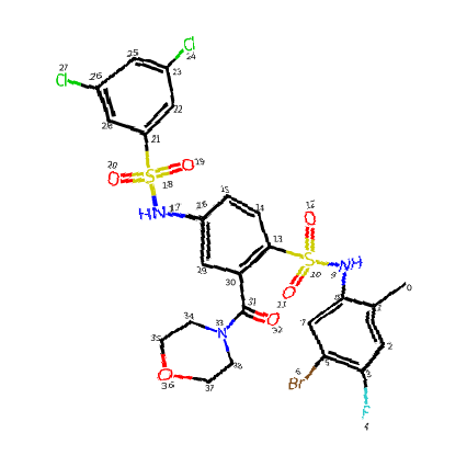 Cc1cc(F)c(Br)cc1NS(=O)(=O)c1ccc(NS(=O)(=O)c2cc(Cl)cc(Cl)c2)cc1C(=O)N1CCOCC1